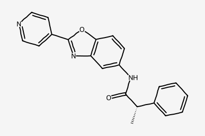 C[C@H](C(=O)Nc1ccc2oc(-c3ccncc3)nc2c1)c1ccccc1